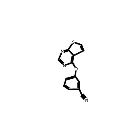 N#Cc1cccc(Oc2ncnc3sccc23)c1